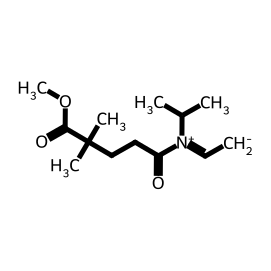 [CH2-]/C=[N+](/C(=O)CCC(C)(C)C(=O)OC)C(C)C